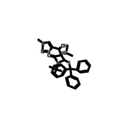 Cn1cc(C(O)C2([SiH](C)C)C(=O)N(C(C)(C)C)C2SC(c2ccccc2)(c2ccccc2)c2ccccc2)nn1